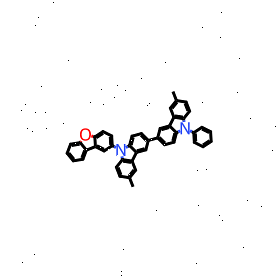 Cc1ccc2c(c1)c1cc(-c3ccc4c(c3)c3cc(C)ccc3n4-c3ccc4oc5ccccc5c4c3)ccc1n2-c1ccccc1